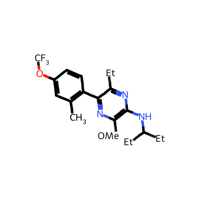 CCc1nc(NC(CC)CC)c(OC)nc1-c1ccc(OC(F)(F)F)cc1C